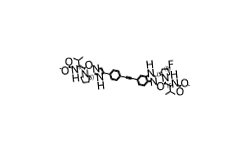 COC(=O)N[C@H](C(=O)N1CCC[C@H]1c1ncc(-c2ccc(C#Cc3ccc4nc([C@@H]5C[C@H](F)CN5C(=O)[C@@H](NC(=O)OC)C(C)C)[nH]c4c3)cc2)[nH]1)C(C)C